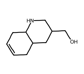 OCC1CNC2CC=CCC2C1